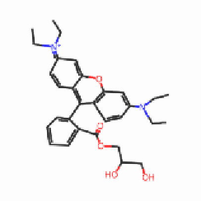 CCN(CC)c1ccc2c(-c3ccccc3C(=O)OCC(O)CO)c3ccc(=[N+](CC)CC)cc-3oc2c1